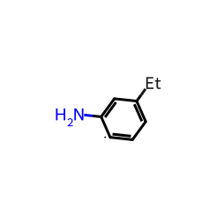 CCc1cc[c]c(N)c1